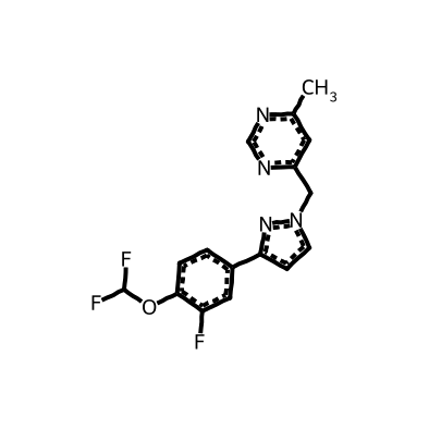 Cc1cc(Cn2ccc(-c3ccc(OC(F)F)c(F)c3)n2)ncn1